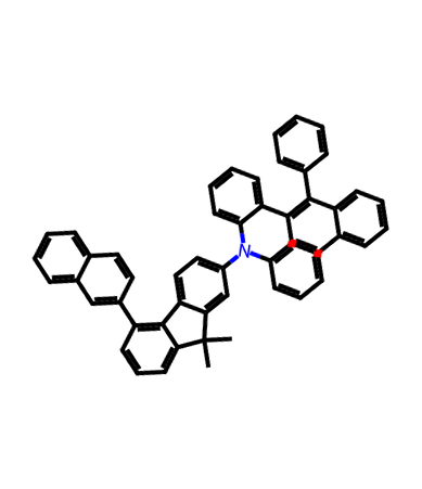 CC1(C)c2cc(N(c3ccccc3)c3ccccc3-c3ccc4ccccc4c3-c3ccccc3)ccc2-c2c(-c3ccc4ccccc4c3)cccc21